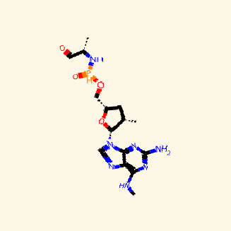 CNc1nc(N)nc2c1ncn2[C@@H]1O[C@H](CO[PH](=O)N[C@@H](C)C=O)C[C@@H]1C